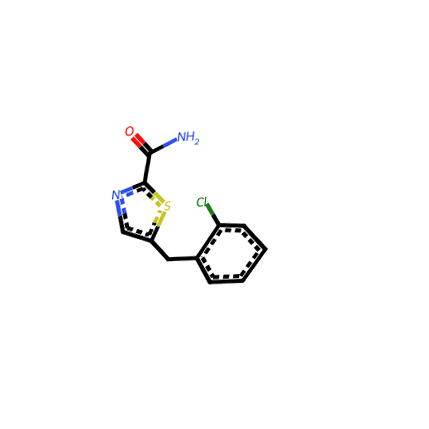 NC(=O)c1ncc(Cc2ccccc2Cl)s1